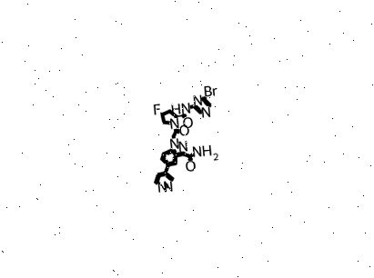 NC(=O)c1nn(CC(=O)N2C[C@H](F)C[C@H]2C(=O)Nc2cncc(Br)n2)c2ccc(-c3ccnnc3)cc12